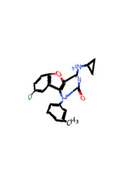 Cc1cccc(-n2c(=O)nc(NC3CC3)c3oc4ccc(Cl)cc4c32)c1